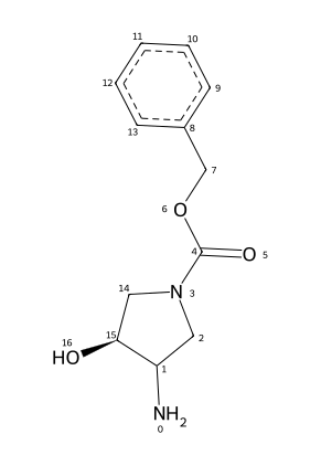 NC1CN(C(=O)OCc2ccccc2)C[C@@H]1O